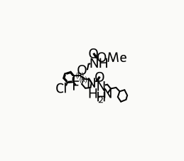 COC(=O)NCCO[C@@H](c1cccc(Cl)c1F)[C@@H]1CCCN(C(=O)NCC(N)CC2CCCCC2)C1